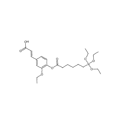 CCOc1cc(/C=C/C(=O)O)ccc1OC(=O)CCCCC[Si](OCC)(OCC)OCC